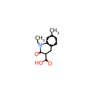 CCN1C(=O)C(C(=O)O)Cc2ccc(C)cc21